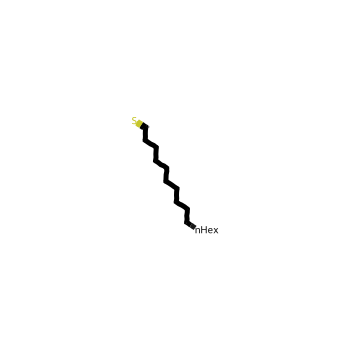 CCCCCCCCCCCCCCC[C]=S